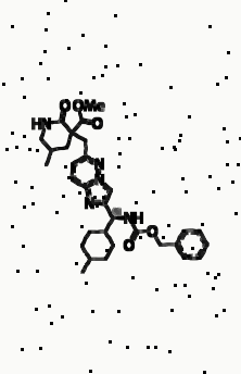 COC(=O)C1(Cc2ccc3nc([C@@H](NC(=O)OCc4ccccc4)C4CCC(C)CC4)cn3n2)CC(C)CNC1=O